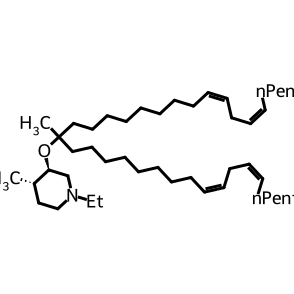 CCCCC/C=C\C/C=C\CCCCCCCCC(C)(CCCCCCCC/C=C\C/C=C\CCCCC)O[C@H]1CN(CC)CC[C@@H]1C